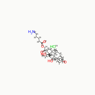 C[C@]12C=CC(=O)C=C1CC[C@@H]1[C@@H]2[C@@H](O)C[C@@]2(C)[C@H]1CC[C@]2(O)C(=O)COC(=O)CCCCN.Cl